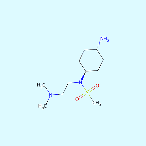 CN(C)CCN([C@H]1CC[C@H](N)CC1)S(C)(=O)=O